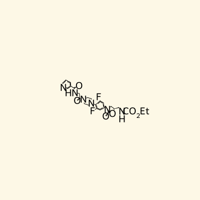 CCOC(=O)NC[C@@H]1CN(c2cc(F)c(N3CCN(C(=O)CNC(=O)c4cccnc4)CC3)c(F)c2)C(=O)O1